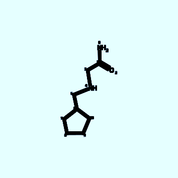 NC(=O)CNCC1CCCC1